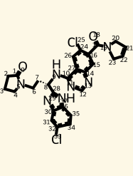 O=C1CCCN1CC[C@H](Nc1ncnc2cc(C(=O)N3CC=CC3)c(Cl)cc12)c1nc2cc(Cl)ccc2[nH]1